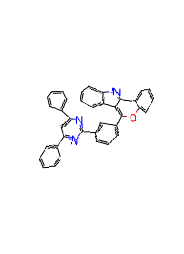 c1ccc(-c2cc(-c3ccccc3)nc(-c3cccc(-c4oc5ccccc5c5nc6ccccc6c4-5)c3)n2)cc1